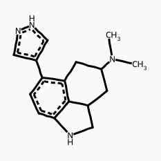 CN(C)C1Cc2c(-c3cn[nH]c3)ccc3c2C(CN3)C1